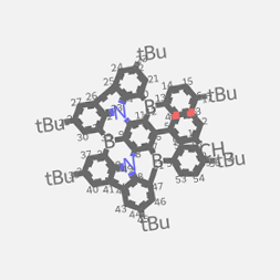 Cc1cccc(-c2c3c4c5c6c2B(c2ccc(C(C)(C)C)cc2)c2cc(C(C)(C)C)cc7c8cc(C(C)(C)C)cc(c8n-6c27)B5c2cc(C(C)(C)C)cc5c6cc(C(C)(C)C)cc(c6n-4c25)B3c2ccc(C(C)(C)C)cc2)c1